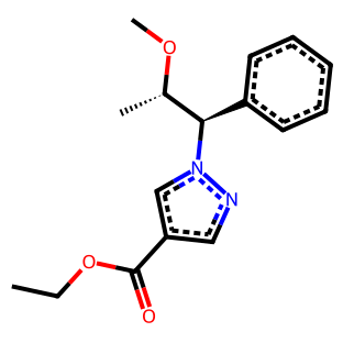 CCOC(=O)c1cnn([C@H](c2ccccc2)[C@H](C)OC)c1